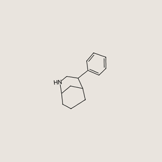 c1ccc(C2CNC3CCCC2C3)cc1